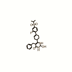 CC(C)S(=O)(=O)c1ccc(C2=CCC(C3=C(Cc4ccccc4)C(=O)NC(O)N3)CC2)c(F)c1